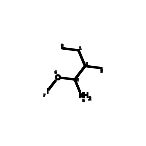 CCC(C)C(N)OI